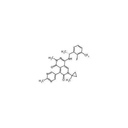 Cc1ncc(-c2c(=O)n(C3(C)CC3)cc3c(N[C@H](C)c4cccc(C(F)(F)F)c4F)nn(C)c(=O)c23)cn1